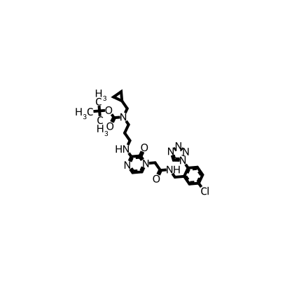 CC(C)(C)OC(=O)N(CCCNc1nccn(CC(=O)NCc2cc(Cl)ccc2-n2cnnn2)c1=O)CC1CC1